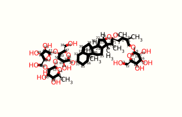 CO[C@@]1(CC[C@@H](C)CO[C@@H]2O[C@H](CO)[C@@H](O)[C@H](O)[C@H]2O)O[C@H]2C[C@@H]3C(CCC4[C@H]3CC=C3C[C@@H](O[C@H]5O[C@@H](CO)[C@H](O[C@@H]6O[C@@H](CO)[C@H](O)[C@H]6O)[C@@H](O[C@@H]6O[C@@H](C)[C@H](O)[C@@H](O)[C@H]6O)[C@@H]5O)CC[C@@]34C)[C@@]2(C)[C@@H]1C